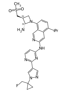 CC(C)c1ccc(N2C[C@H](CS(C)(=O)=O)[C@H]2N)c2cnc(Nc3ccnc(-c4cnn(C5(CF)CC5)c4)n3)cc12